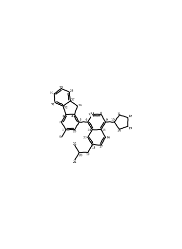 Cc1cc2c(c(-c3ncc(C4CCCC4)c4ccc(CC(C)C)cc34)c1)Cc1ccccc1-2